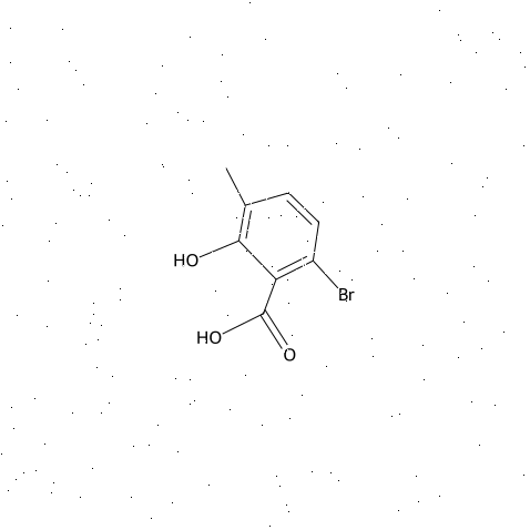 Cc1ccc(Br)c(C(=O)O)c1O